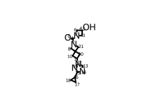 O=C(N1CC(O)C1)N1CC2(CC(n3cnc(C4CC4)n3)C2)C1